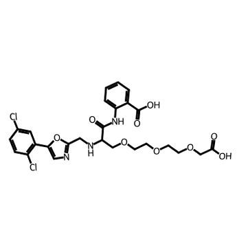 O=C(O)COCCOCCOCC(NCc1ncc(-c2cc(Cl)ccc2Cl)o1)C(=O)Nc1ccccc1C(=O)O